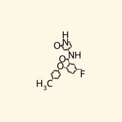 Cc1ccc(Oc2ccc(CF)cc2C(=O)Nc2cc[nH]c(=O)c2)cc1